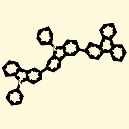 c1ccc(-n2c3ccccc3c3cc(-c4ccc5c6cc(-c7ccc8c9ccccc9c9ccccc9c8c7)ccc6n(-c6ccccc6)c5c4)ccc32)cc1